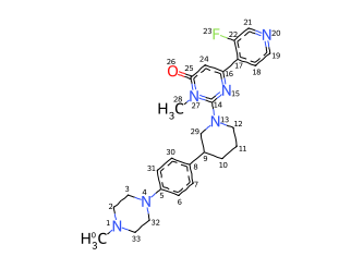 CN1CCN(c2ccc(C3CCCN(c4nc(-c5ccncc5F)cc(=O)n4C)C3)cc2)CC1